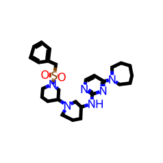 O=S(=O)(Cc1ccccc1)N1CCCC(N2CCCC(Nc3nccc(N4CCCCCC4)n3)C2)C1